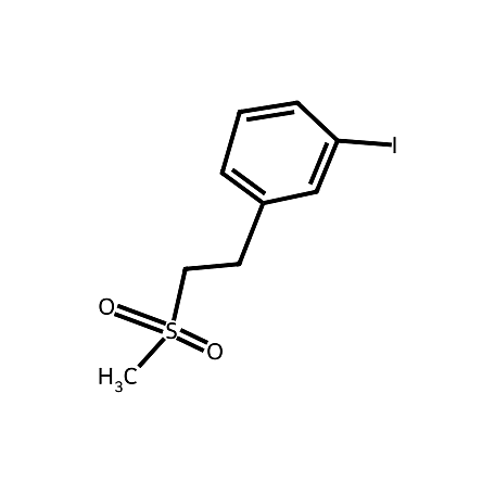 CS(=O)(=O)CCc1cccc(I)c1